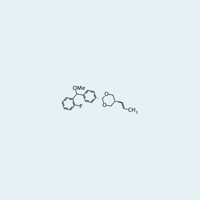 C/C=C/[C@H]1CO[C@H](c2ccc(C(OC)c3ccccc3F)cc2)OC1